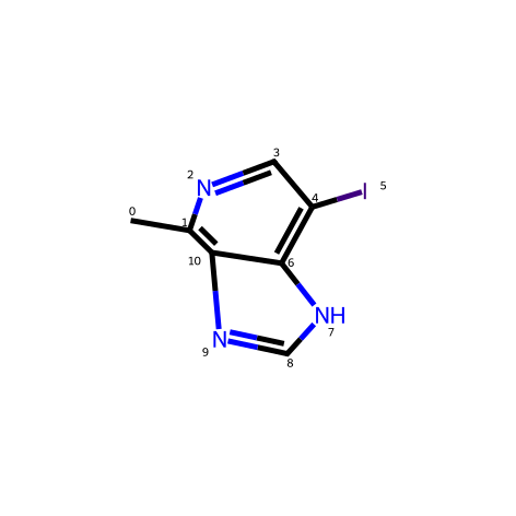 Cc1ncc(I)c2[nH]cnc12